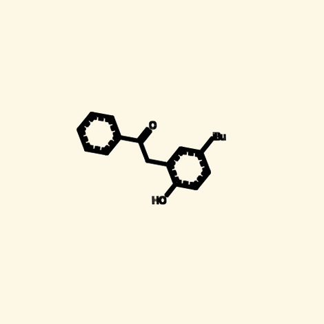 CCC(C)c1ccc(O)c(CC(=O)c2ccccc2)c1